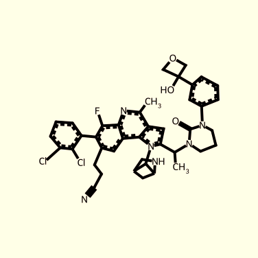 Cc1nc2c(F)c(-c3cccc(Cl)c3Cl)c(CCC#N)cc2c2c1cc(C(C)N1CCCN(c3cccc(C4(O)COC4)c3)C1=O)n2C1C2CNC1C2